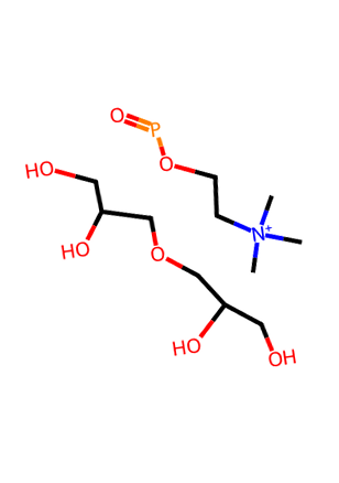 C[N+](C)(C)CCOP=O.OCC(O)COCC(O)CO